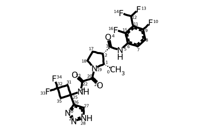 C[C@H]1[C@@H](C(=O)Nc2ccc(F)c(C(F)F)c2F)CCN1C(=O)C(=O)NC1(c2c[nH]nn2)CC(F)(F)C1